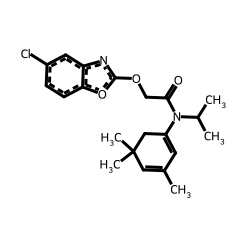 CC1=CC(C)(C)CC(N(C(=O)COc2nc3cc(Cl)ccc3o2)C(C)C)=C1